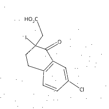 O=C(O)CC1(I)CCc2ccc(Cl)cc2C1=O